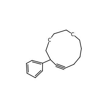 C1#CC(c2ccccc2)CCCCCCCCC1